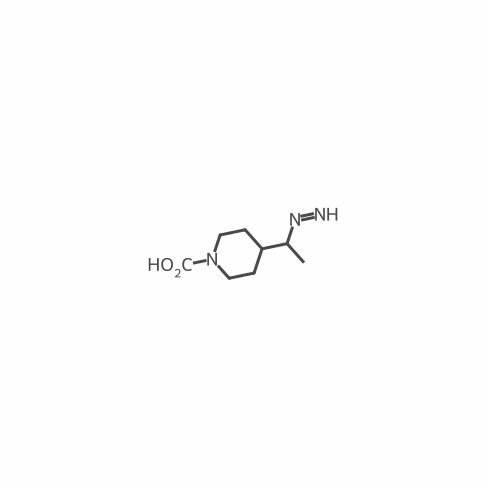 CC(N=N)C1CCN(C(=O)O)CC1